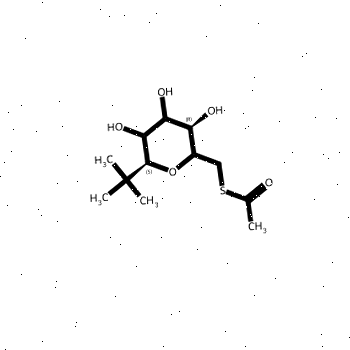 CC(=O)SCC1O[C@@H](C(C)(C)C)C(O)C(O)[C@H]1O